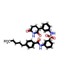 CCCCCc1ccc(C(=O)Nc2cccc(S(=O)(=O)Nc3cccc(C4CCC(=O)NC4=O)c3)c2)cc1